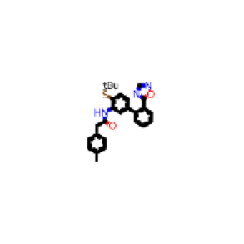 Cc1ccc(CC(=O)Nc2cc(-c3ccccc3-c3ncno3)ccc2SC(C)(C)C)cc1